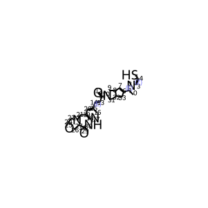 C/C(=N\C=C/S)C1=CC2CN(C(=O)/C=C/c3cnc4c(c3)CN3CCOCC3C(=O)N4)CC2C1